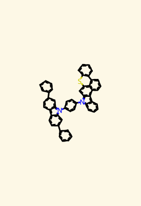 c1ccc(-c2ccc3c4ccc(-c5ccccc5)cc4n(-c4ccc(-n5c6ccccc6c6c7cccc8c7c(cc65)Sc5ccccc5-8)cc4)c3c2)cc1